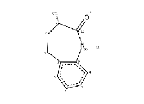 C[C@H]1CCc2ccccc2N(C)C1=O